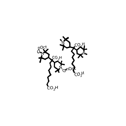 CCCCCCCCON1C(C)(C)CC(C(CCCCCCCC(=O)O)(C(=O)O)C2CC(C)(C)N(OCCCCCCCC)C(C)(C)C2)CC1(C)C.CN1C(C)(C)CC(C(CCCCCCCC(=O)O)(C(=O)O)C2CC(C)(C)N(C)C(C)(C)C2)CC1(C)C